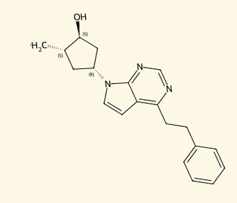 [CH2][C@H]1C[C@@H](n2ccc3c(CCc4ccccc4)ncnc32)C[C@@H]1O